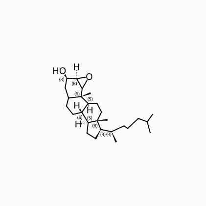 CC(C)CCC[C@@H](C)[C@H]1CC[C@H]2[C@@H]3CCC4C[C@@H](O)[C@H]5OC5[C@]4(C)[C@H]3CC[C@]12C